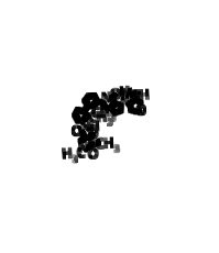 COc1nc(-c2cccc(-c3cccc(NC(=O)c4cn(C)c(=O)n(C)c4=O)c3C)c2C)cc2c1C(N[C@@H]1CCOC[C@H]1O)CC2